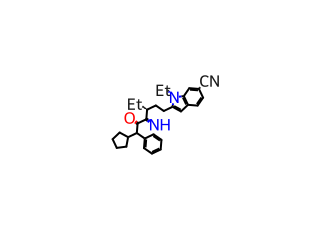 CC[C@@H](CCc1cc2ccc(C#N)cc2n1CC)C(=N)C(=O)C(c1ccccc1)C1CCCC1